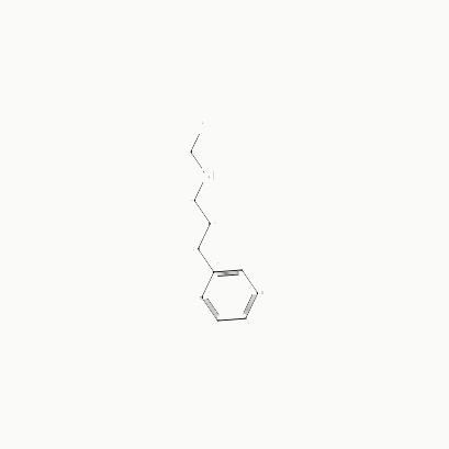 [CH2]C(=O)CNCCCc1ccccc1